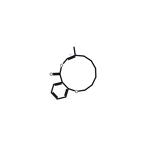 C/C1=C/OC(=O)c2ccccc2OCCCCCC1